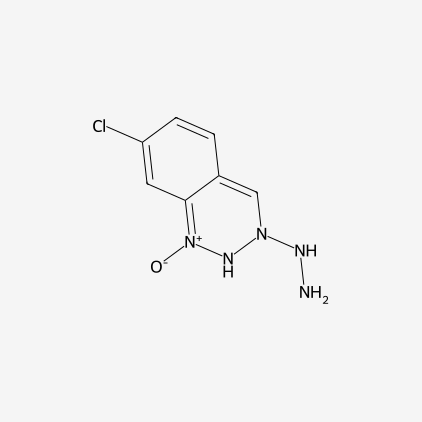 NNN1C=c2ccc(Cl)cc2=[N+]([O-])N1